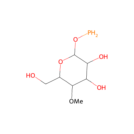 COC1C(CO)OC(OP)C(O)C1O